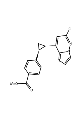 COC(=O)c1ccc([C@H]2C[C@@H]2c2cc(Cl)nn3ccnc23)cc1